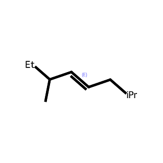 CCC(C)/C=C/CC(C)C